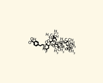 CN(C[C@@H](NC(=O)N[C@H](C(=O)N1C[C@H]2[C@@H](C1C(=O)NC(CC(F)F)C(=O)NCCc1ccc(C(=O)O)cc1)C2(C)C)C(C)(C)C)C(C)(C)C)S(C)(=O)=O